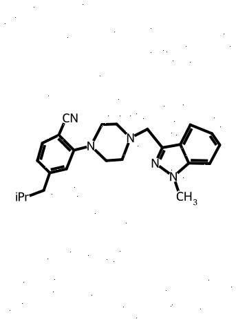 CC(C)Cc1ccc(C#N)c(N2CCN(Cc3nn(C)c4ccccc34)CC2)c1